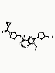 CCn1c(C2CC[C@@H](O)C2)nc2c(N[C@H]3CCN(C(=O)C4CC4)C3)ncnc21